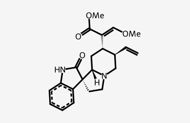 C=C[C@H]1CN2CC[C@]3(C(=O)Nc4ccccc43)[C@@H]2C[C@@H]1/C(=C\OC)C(=O)OC